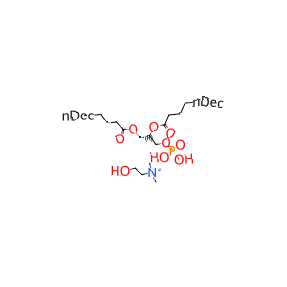 CCCCCCCCCCCCCC(=O)OC[C@H](COP(=O)(O)O)OC(=O)CCCCCCCCCCCCC.C[N+](C)(C)CCO